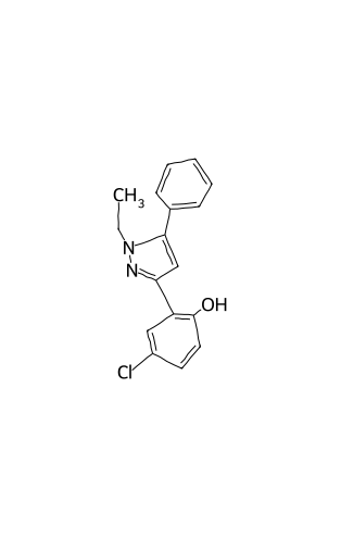 CCn1nc(-c2cc(Cl)ccc2O)cc1-c1ccccc1